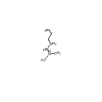 CCCCCC[SiH2]N[SiH](C)C